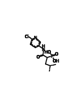 CC(C)CC(C(=O)Nc1ccc(Cl)nc1)P(=O)(O)O